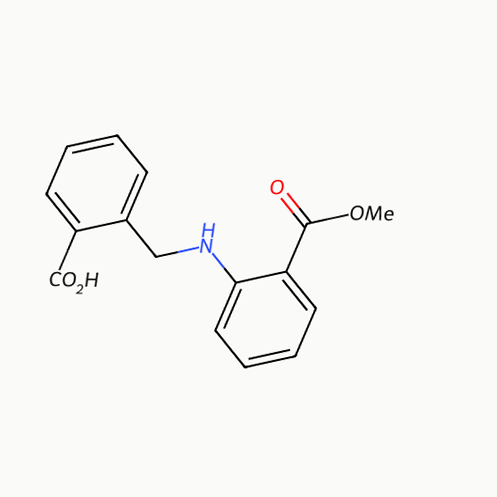 COC(=O)c1ccccc1NCc1ccccc1C(=O)O